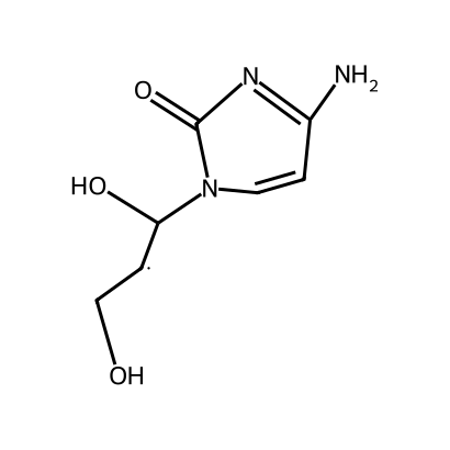 Nc1ccn(C(O)[CH]CO)c(=O)n1